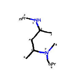 CCCNC(C)CC(C)N(C)CCC